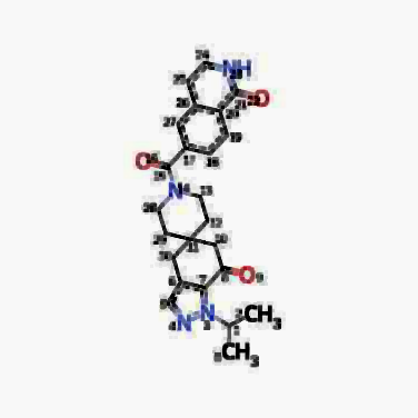 CC(C)n1ncc2c1C(=O)CC1(CCN(C(=O)c3ccc4c(=O)[nH]ccc4c3)CC1)C2